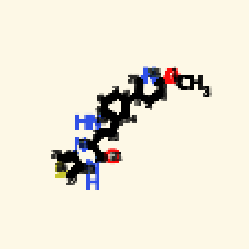 COc1ccc(-c2ccc3[nH]c(-c4nc5cscc5[nH]c4=O)cc3c2)cn1